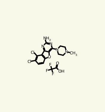 CN1CCN(c2nc(N)nc3c2oc2ccc(Cl)c(Cl)c23)CC1.O=C(O)C(F)(F)F